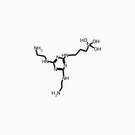 NCCNc1nc(NCCN)nc(NCCC[Si](O)(O)O)n1